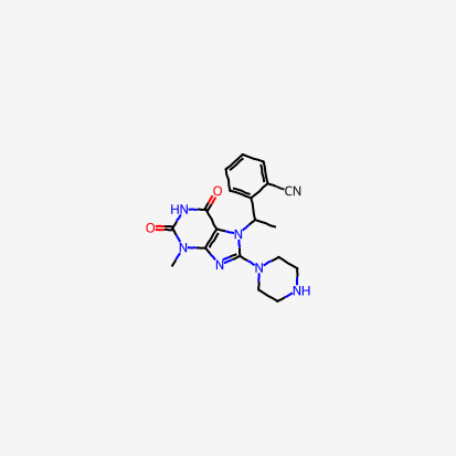 CC(c1ccccc1C#N)n1c(N2CCNCC2)nc2c1c(=O)[nH]c(=O)n2C